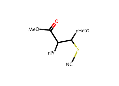 CCCCCCCC(SC#N)C(CCC)C(=O)OC